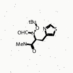 CNC(=O)[C@H](Cc1cscn1)N(C=O)OC(C)(C)C